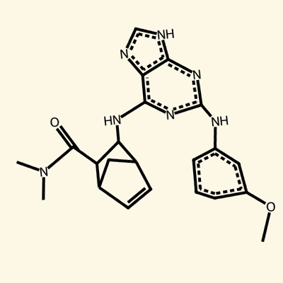 COc1cccc(Nc2nc(NC3C4C=CC(C4)C3C(=O)N(C)C)c3nc[nH]c3n2)c1